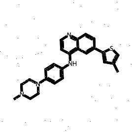 Cc1csc(-c2ccc3nccc(Nc4ccc(N5CCN(C)CC5)cc4)c3c2)c1